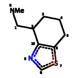 CNCC1CCCc2scnc21